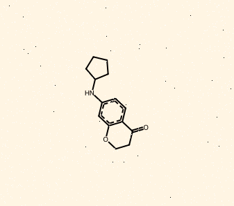 O=C1CCOc2cc(NC3CCCC3)ccc21